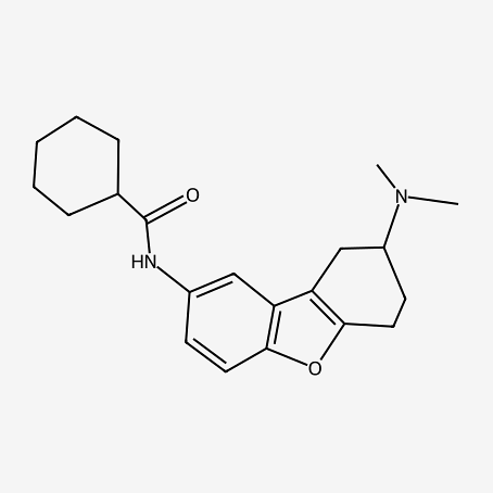 CN(C)C1CCc2oc3ccc(NC(=O)C4CCCCC4)cc3c2C1